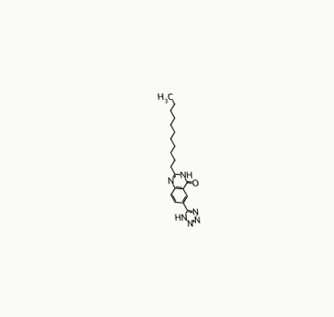 CCCCCCCCCCCc1nc2ccc(-c3nnn[nH]3)cc2c(=O)[nH]1